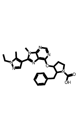 CCn1ncc(-c2nc3c(OC4CCN(C(=O)O)C4Cc4ccccc4)ncnc3n2C)c1C